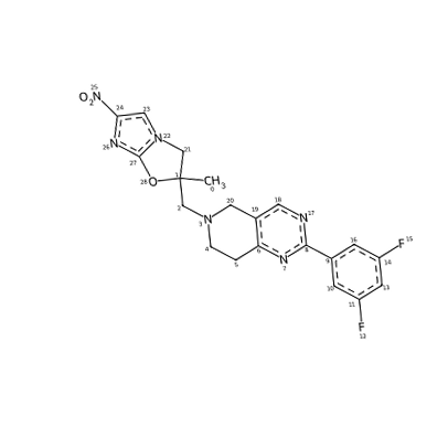 CC1(CN2CCc3nc(-c4cc(F)cc(F)c4)ncc3C2)Cn2cc([N+](=O)[O-])nc2O1